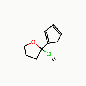 ClC1(C2=CC=CC2)CCCO1.[V]